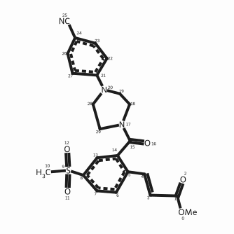 COC(=O)C=Cc1ccc(S(C)(=O)=O)cc1C(=O)N1CCN(c2ccc(C#N)cc2)CC1